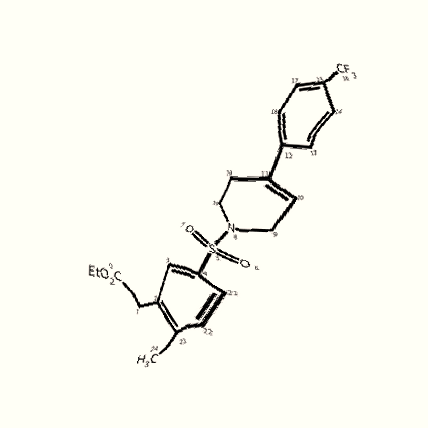 CCOC(=O)Cc1cc(S(=O)(=O)N2CC=C(c3ccc(C(F)(F)F)cc3)CC2)ccc1C